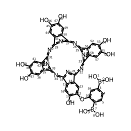 OB(O)c1ccc(B(O)O)c(Oc2cc3c(cc2O)-c2nc-3nc3[nH]c(nc4nc(nc5[nH]c(n2)c2cc(O)c(O)cc52)-c2cc(O)c(O)cc2-4)c2cc(O)c(O)cc32)c1